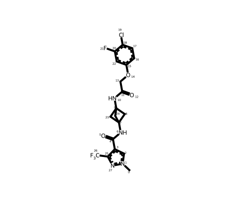 Cn1cc(C(=O)NC23CC(NC(=O)COc4ccc(Cl)c(F)c4)(C2)C3)c(C(F)(F)F)n1